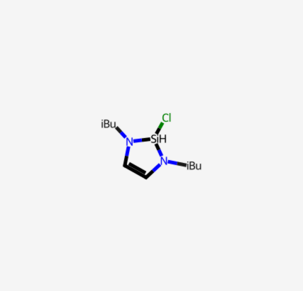 CCC(C)N1C=CN(C(C)CC)[SiH]1Cl